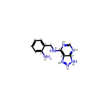 Nc1ccccc1CNc1ncnc2[nH]nnc12